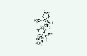 FC(F)(F)C1(Cl)C2C=CC(C2)C1(Cl)C(F)(F)F.FC(F)(F)OC1(F)C2C=CC(C2)C1(F)F